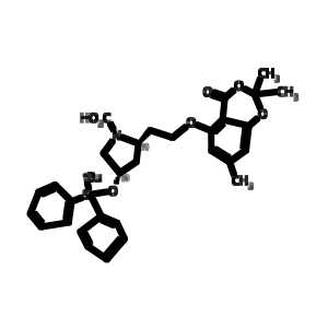 Cc1cc(OCC[C@H]2C[C@H](O[Si](c3ccccc3)(c3ccccc3)C(C)(C)C)CN2C(=O)O)c2c(c1)OC(C)(C)OC2=O